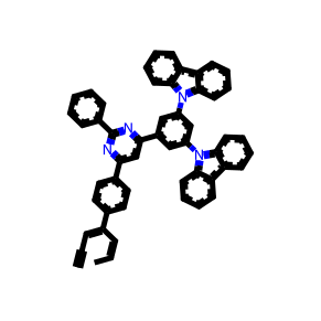 C#C/C=C(\C=C/C)c1ccc(-c2cc(-c3cc(-n4c5ccccc5c5ccccc54)cc(-n4c5ccccc5c5ccccc54)c3)nc(-c3ccccc3)n2)cc1